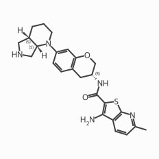 Cc1ccc2c(N)c(C(=O)N[C@H]3COc4cc(N5CCC[C@H]6CNC[C@H]65)ccc4C3)sc2n1